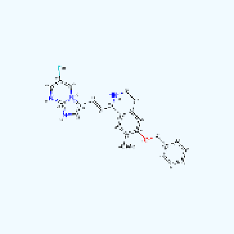 COc1cc2c(cc1OCc1ccccc1)CCNC2/C=C/c1cnc2ncc(F)cn12